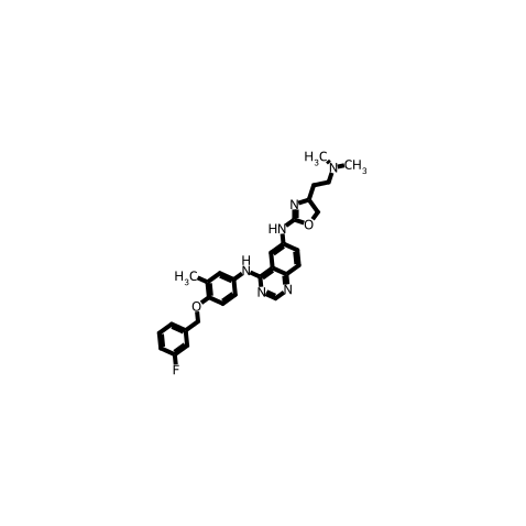 Cc1cc(Nc2ncnc3ccc(NC4=NC(CCN(C)C)CO4)cc23)ccc1OCc1cccc(F)c1